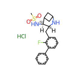 CS(=O)(=O)N[C@H]1C2CC(C2)N[C@H]1Cc1cccc(-c2ccccc2)c1F.Cl